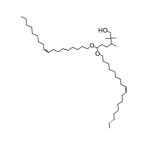 [CH2]C(CCC(OCCCCCCCC/C=C\CCCCCCCC)OCCCCCCCC/C=C\CCCCCCCC)C(C)(C)CO